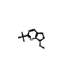 CCC1CCc2ccc(C(C)(C)C)nc21